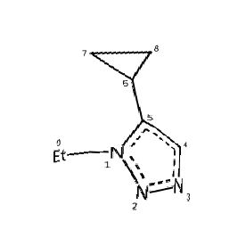 CCn1nncc1C1CC1